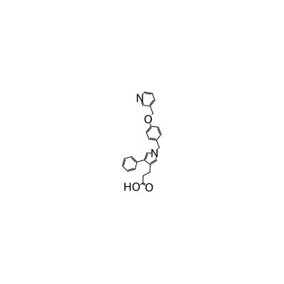 O=C(O)CCc1cn(Cc2ccc(OCc3cccnc3)cc2)cc1-c1ccccc1